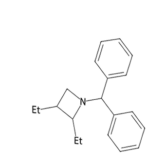 CCC1CN(C(c2ccccc2)c2ccccc2)C1CC